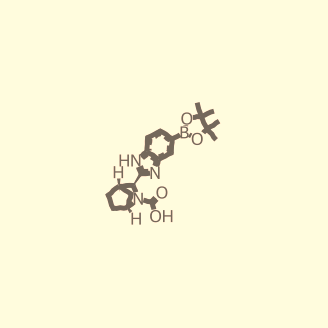 CC1(C)OB(c2ccc3[nH]c([C@@H]4[C@H]5CC[C@H](C5)N4C(=O)O)nc3c2)OC1(C)C